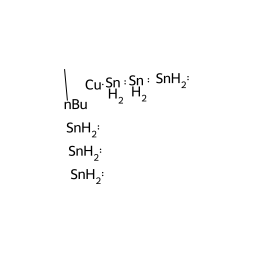 CCCCC.[Cu].[SnH2].[SnH2].[SnH2].[SnH2].[SnH2].[SnH2]